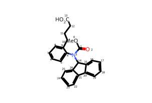 COC(=O)N(c1ccccc1CCCC(=O)O)C1c2ccccc2-c2ccccc21